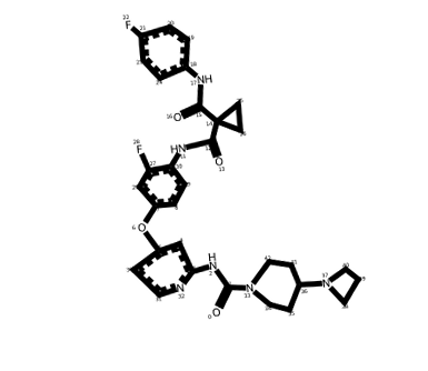 O=C(Nc1cc(Oc2ccc(NC(=O)C3(C(=O)Nc4ccc(F)cc4)CC3)c(F)c2)ccn1)N1CCC(N2CCC2)CC1